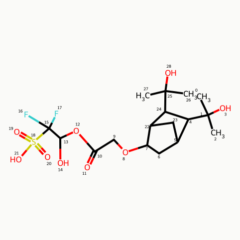 CC(C)(O)C1C2CC(OCC(=O)OC(O)C(F)(F)S(=O)(=O)O)C(C2)C1C(C)(C)O